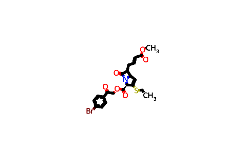 CCSC1=CC2C(CC=CC(=O)OC)C(=O)N2[C@@H]1C(=O)OCC(=O)c1ccc(Br)cc1